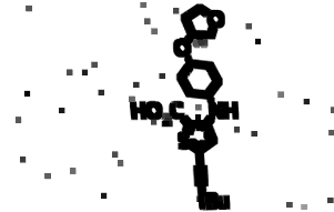 CC(C)(C)C#Cc1cc(N[C@H]2CC[C@@H](O[C@H]3CCOC3)CC2)c(C(=O)O)s1